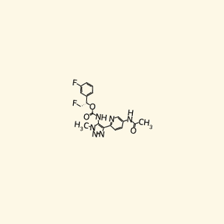 CC(=O)Nc1ccc(-c2nnn(C)c2NC(=O)O[C@H](CF)c2cccc(F)c2)nc1